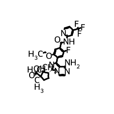 CCOc1cc(C(=O)Nc2cc(C(F)(F)F)ccn2)c(F)cc1-c1nc([C@@H]2CC[C@](C)(C(=O)O)C2(C)C)n2ccnc(N)c12